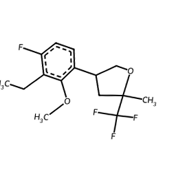 CCc1c(F)ccc(C2COC(C)(C(F)(F)F)C2)c1OC